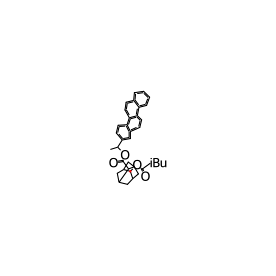 CCC(C)C(=O)OC1C2CC3CC1CC(C2)C3C(=O)OC(C)c1ccc2c(ccc3c4ccccc4ccc23)c1